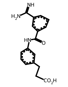 N=C(N)c1cccc(C(=O)Nc2cccc(CCC(=O)O)c2)c1